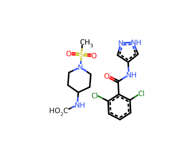 CS(=O)(=O)N1CCC(NC(=O)O)CC1.O=C(Nc1cn[nH]c1)c1c(Cl)cccc1Cl